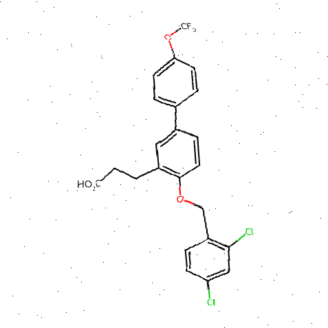 O=C(O)CCc1cc(-c2ccc(OC(F)(F)F)cc2)ccc1OCc1ccc(Cl)cc1Cl